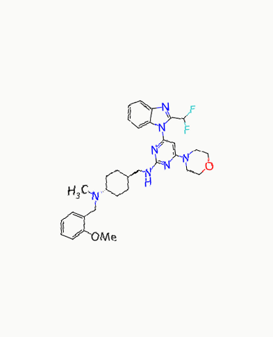 COc1ccccc1CN(C)[C@H]1CC[C@H](CNc2nc(N3CCOCC3)cc(-n3c(C(F)F)nc4ccccc43)n2)CC1